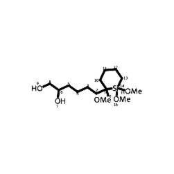 COC1(CCCCC(O)CO)CCCC[Si]1(OC)OC